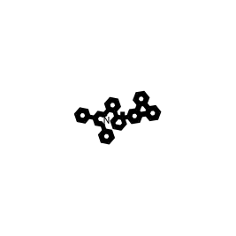 CC1(c2ccc3c4ccccc4c4ccccc4c3c2)CC=CC=C1c1ccccc1-c1cc(-c2ccccc2)cc(-c2ccccc2)n1